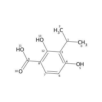 CC(C)c1c(O)ccc(C(=O)O)c1O